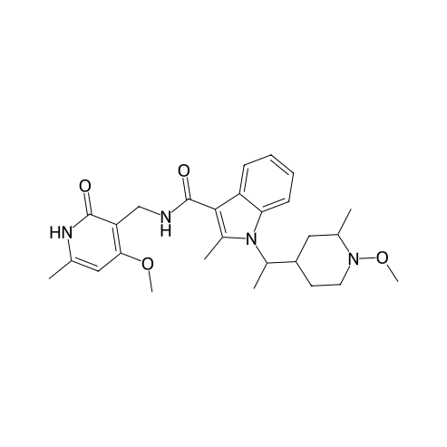 COc1cc(C)[nH]c(=O)c1CNC(=O)c1c(C)n(C(C)C2CCN(OC)C(C)C2)c2ccccc12